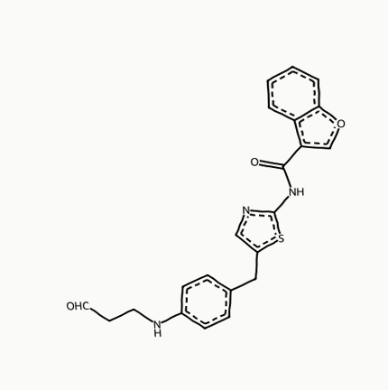 O=CCCNc1ccc(Cc2cnc(NC(=O)c3coc4ccccc34)s2)cc1